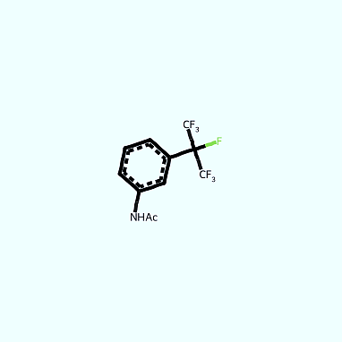 CC(=O)Nc1cccc(C(F)(C(F)(F)F)C(F)(F)F)c1